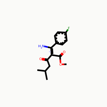 COC(=O)/C(C(=O)CC(C)C)=C(/N)c1ccc(F)cc1